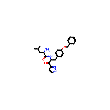 CC(C)CC(N)C(=O)NC(Cc1ccc(OCc2ccccc2)cc1)C(=O)c1cc[nH]n1